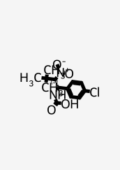 CC(C)(C)[C@@H](C(NC(=O)O)c1ccc(Cl)cc1)[N+](=O)[O-]